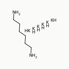 NCCCCCCN.[KH].[KH].[KH].[KH].[KH].[KH]